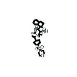 CC1(C)N2C(c3ccc(S(=O)(=O)N4CCOCC4)cc3)=CSC2=N[C@@H]2c3c(ccc4ccccc34)ON[C@]21C